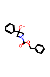 O=C(OCc1ccccc1)N1CC(O)(c2ccccc2)C1